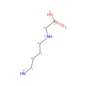 [NH]CCCCNCC(=O)O